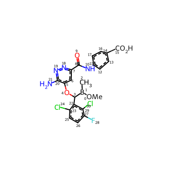 COB(C)C(Oc1cc(C(=O)Nc2ccc(C(=O)O)cc2)nnc1N)c1c(Cl)ccc(F)c1Cl